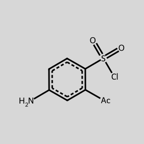 CC(=O)c1cc(N)ccc1S(=O)(=O)Cl